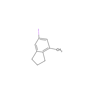 Cc1cc(I)cc2c1CCC2